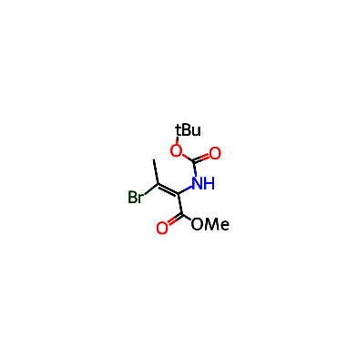 COC(=O)C(NC(=O)OC(C)(C)C)=C(C)Br